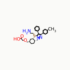 Cc1ccc(-c2nn(C[C@H]3CC[C@H](COCC(=O)O)CC3)c(SCCN)c2-c2ccccc2)cc1